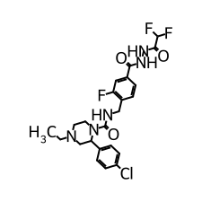 CCN1CCN(C(=O)NCc2ccc(C(=O)NNC(=O)C(F)F)cc2F)C(c2ccc(Cl)cc2)C1